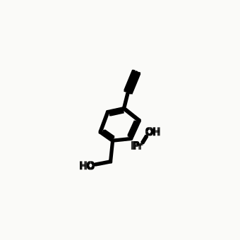 C#Cc1ccc(CO)cc1.CC(C)O